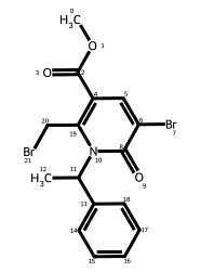 COC(=O)c1cc(Br)c(=O)n(C(C)c2ccccc2)c1CBr